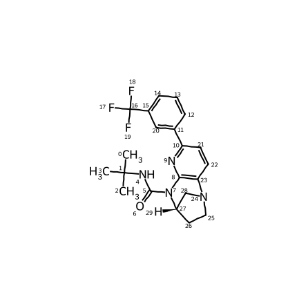 CC(C)(C)NC(=O)N1c2nc(-c3cccc(C(F)(F)F)c3)ccc2N2CC[C@H]1C2